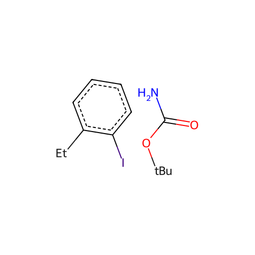 CC(C)(C)OC(N)=O.CCc1ccccc1I